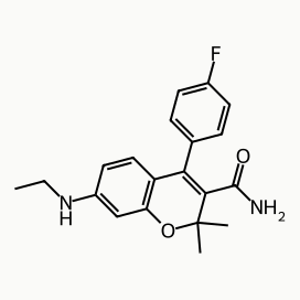 CCNc1ccc2c(c1)OC(C)(C)C(C(N)=O)=C2c1ccc(F)cc1